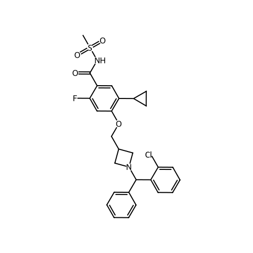 CS(=O)(=O)NC(=O)c1cc(C2CC2)c(OCC2CN(C(c3ccccc3)c3ccccc3Cl)C2)cc1F